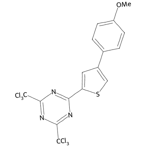 COc1ccc(-c2csc(-c3nc(C(Cl)(Cl)Cl)nc(C(Cl)(Cl)Cl)n3)c2)cc1